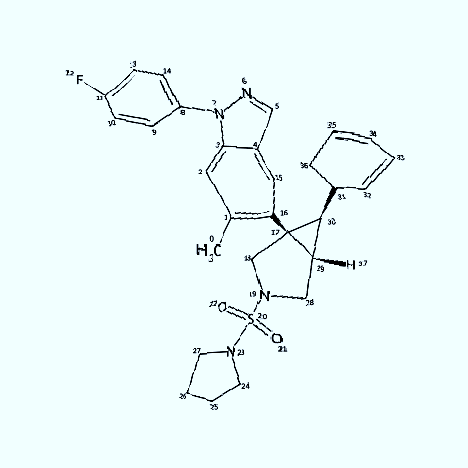 Cc1cc2c(cnn2-c2ccc(F)cc2)cc1[C@]12CN(S(=O)(=O)N3CCCC3)C[C@H]1[C@@H]2C1C=CC=CC1